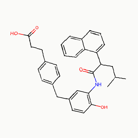 CC(C)CC(C(=O)Nc1cc(Cc2ccc(CCC(=O)O)cc2)ccc1O)c1cccc2ccccc12